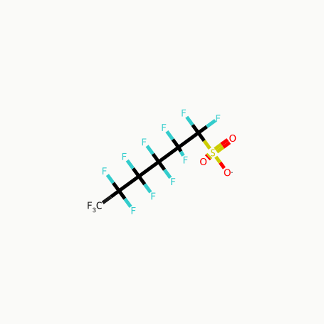 [O]S(=O)(=O)C(F)(F)C(F)(F)C(F)(F)C(F)(F)C(F)(F)C(F)(F)F